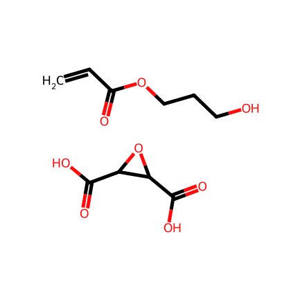 C=CC(=O)OCCCO.O=C(O)C1OC1C(=O)O